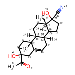 CC(=O)C1(O)CC[C@@]2(C)C(=CC[C@@H]3[C@H]2CC[C@@]2(C)[C@H]3CCC2(O)C#N)C1